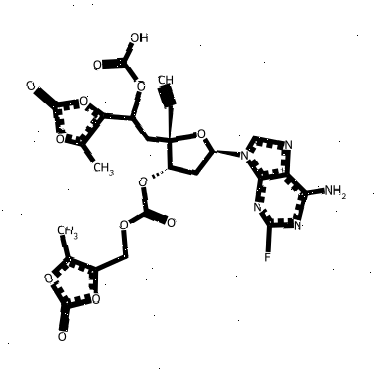 C#C[C@@]1(CC(OC(=O)O)c2oc(=O)oc2C)O[C@@H](n2cnc3c(N)nc(F)nc32)C[C@@H]1OC(=O)OCc1oc(=O)oc1C